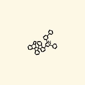 c1ccc(-c2cccc(-c3cc(-c4cccc5c4-c4ccccc4C54c5ccccc5-c5c4c4ccccc4c4ccccc54)cc(-c4ccccc4)n3)c2)cc1